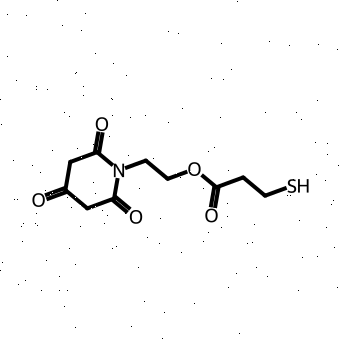 O=C1CC(=O)N(CCOC(=O)CCS)C(=O)C1